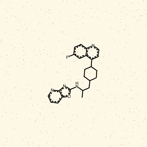 CC(CC1CCC(c2ccnc3ccc(F)cc23)CC1)Nc1nc2ncccc2o1